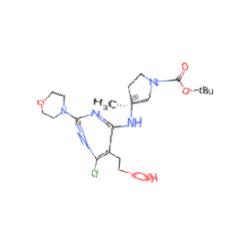 CC(C)(C)OC(=O)N1CC[C@](C)(Nc2nc(N3CCOCC3)nc(Cl)c2CCO)C1